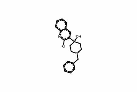 OC1(c2cc3ccccc3nc2Cl)CCN(Cc2ccccc2)CC1